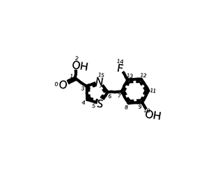 O=C(O)c1csc(-c2cc(O)ccc2F)n1